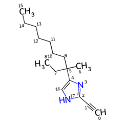 C#Cc1nc(C(C)(CC)CCCCCCC)c[nH]1